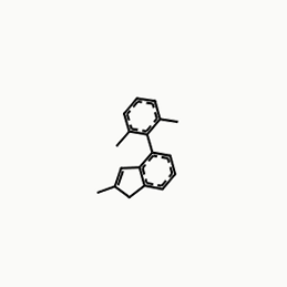 CC1=Cc2c(cccc2-c2c(C)cccc2C)C1